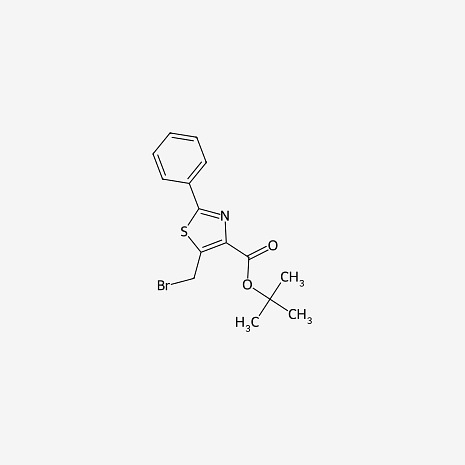 CC(C)(C)OC(=O)c1nc(-c2ccccc2)sc1CBr